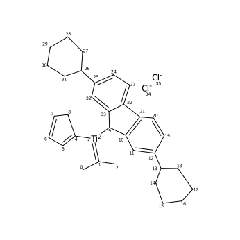 C[C](C)=[Ti+2]([C]1=CC=CC1)[CH]1c2cc(C3CCCCC3)ccc2-c2ccc(C3CCCCC3)cc21.[Cl-].[Cl-]